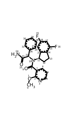 COc1ncccc1C(=O)N([C@@H]1CCc2c(F)cc(F)cc21)[C@@H](C(N)=O)c1ccccc1